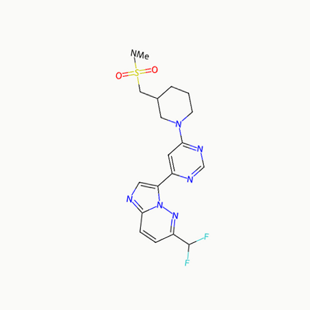 CNS(=O)(=O)CC1CCCN(c2cc(-c3cnc4ccc(C(F)F)nn34)ncn2)C1